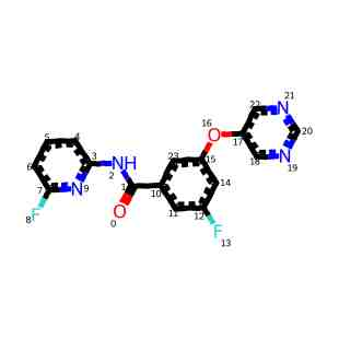 O=C(Nc1cccc(F)n1)c1cc(F)cc(Oc2cncnc2)c1